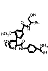 CC(C)(C)C(CO)NC(=O)c1ccc(-c2cccnc2C(=O)Nc2ccc(C(=N)N)cc2)c(C(=O)O)c1.CS(=O)(=O)O